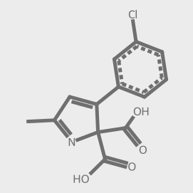 CC1=NC(C(=O)O)(C(=O)O)C(c2cccc(Cl)c2)=C1